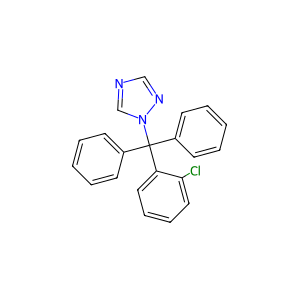 Clc1ccccc1C(c1ccccc1)(c1ccccc1)n1cncn1